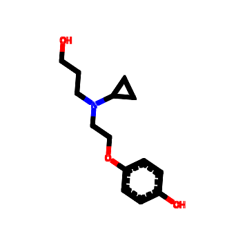 OCCCN(CCOc1ccc(O)cc1)C1CC1